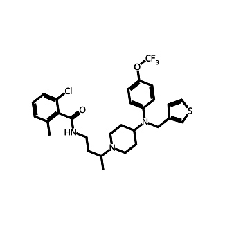 Cc1cccc(Cl)c1C(=O)NCCC(C)N1CCC(N(Cc2ccsc2)c2ccc(OC(F)(F)F)cc2)CC1